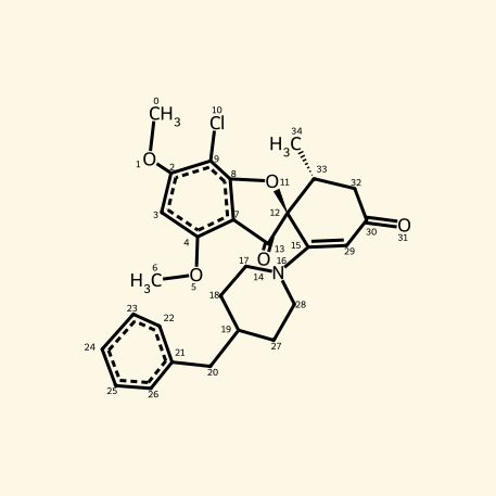 COc1cc(OC)c2c(c1Cl)O[C@]1(C2=O)C(N2CCC(Cc3ccccc3)CC2)=CC(=O)C[C@H]1C